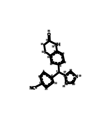 N#Cc1ccc(C(c2ccc3c(c2)SCC(=O)N3)n2cncn2)cc1